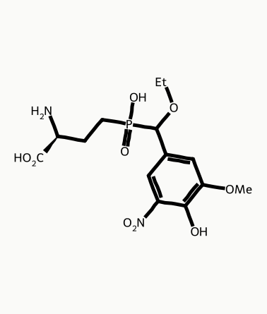 CCOC(c1cc(OC)c(O)c([N+](=O)[O-])c1)P(=O)(O)CC[C@H](N)C(=O)O